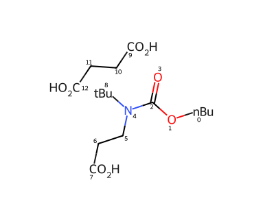 CCCCOC(=O)N(CCC(=O)O)C(C)(C)C.O=C(O)CCC(=O)O